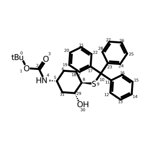 CC(C)(C)OC(=O)N[C@@H]1CC[C@@H](SC(c2ccccc2)(c2ccccc2)c2ccccc2)[C@H](O)C1